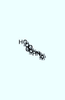 O=S(=O)(c1ccc(O)cc1)c1cccc(CCCNCc2ccccc2)c1